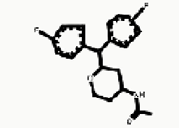 CC(=O)NC1CCOC(C(c2ccc(F)cc2)c2ccc(F)cc2)C1